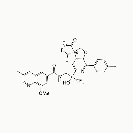 COc1cc(C(=O)NCC(O)(c2cc3c(c(-c4ccc(F)cc4)n2)OC[C@@]3(C(N)=O)C(F)F)C(F)(F)F)cc2cc(C)cnc12